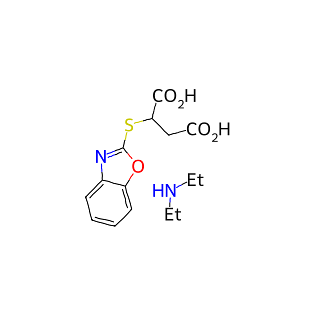 CCNCC.O=C(O)CC(Sc1nc2ccccc2o1)C(=O)O